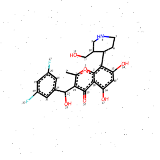 Cc1oc2c(C3CCNCC3CO)c(O)cc(O)c2c(=O)c1C(O)c1cc(F)cc(F)c1